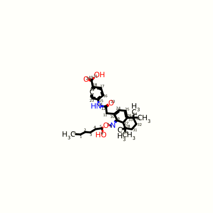 CCCCCC(O)ON=C1C(CC(=O)Nc2ccc(C(=O)O)cc2)=CC=C2C1C(C)(C)CCC2(C)C